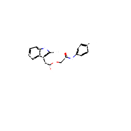 Cc1ccc(NC(=O)COC(O)Cc2c(C)[nH]c3ccccc23)cc1